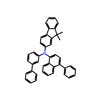 CC1(C)c2ccccc2-c2ccc(N(c3cccc(-c4ccccc4)c3)c3ccc(-c4ccccc4)c4ccccc34)cc21